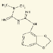 CN(C)C(=N)NC(=N)Nc1cccc2c1OCO2